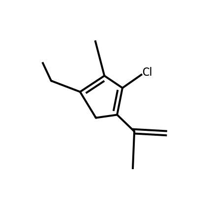 C=C(C)C1=C(Cl)C(C)=C(CC)C1